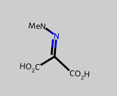 CNN=C(C(=O)O)C(=O)O